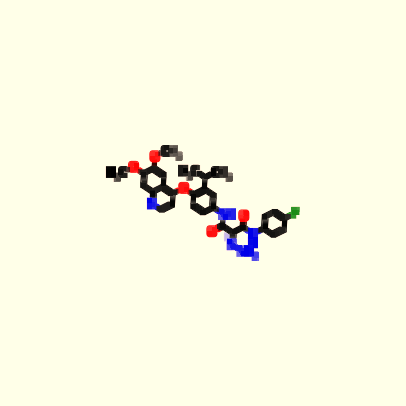 COc1cc2nccc(Oc3ccc(NC(=O)/C(=N/N)C(=O)Nc4ccc(F)cc4)cc3C(C)C)c2cc1OC